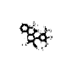 COc1cc(C2C(C#N)=C(N)Oc3c2c(=O)n(C)c2ccccc32)cc([N+](=O)[O-])c1O